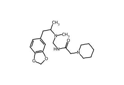 CC(Cc1ccc2c(c1)OCO2)N(C)CNC(=O)CN1CCCCC1